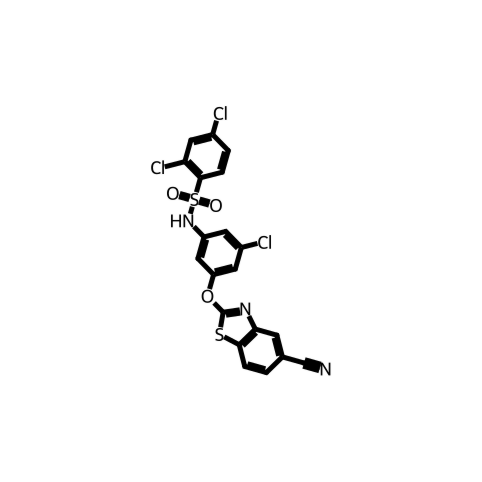 N#Cc1ccc2sc(Oc3cc(Cl)cc(NS(=O)(=O)c4ccc(Cl)cc4Cl)c3)nc2c1